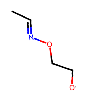 C/C=N/OCC[O]